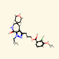 CCn1nc(CCCOC(=O)c2cccc(OC)c2F)c2c1C(=O)NCC1(CCOCC1)C2